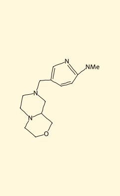 CNc1ccc(CN2CCN3CCOCC3C2)cn1